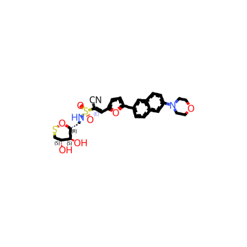 N#C/C(=C\c1ccc(-c2ccc3cc(N4CCOCC4)ccc3c2)o1)S(=O)(=O)NC[C@H]1OSC[C@@H](O)[C@@H]1O